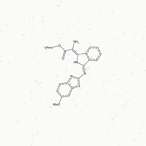 CCCCCOC(=O)/C(N)=C1\N/C(=N\c2nc3ccc(OC)cc3s2)c2ccccc21